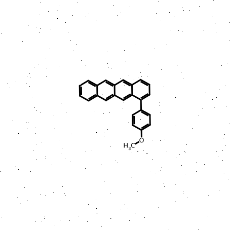 COc1ccc(-c2cccc3cc4cc5ccccc5cc4cc23)cc1